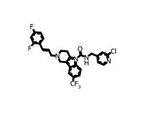 O=C(NCc1ccnc(Cl)c1)n1c2c(c3cc(C(F)(F)F)ccc31)CN(C/C=C/c1ccc(F)cc1F)CC2